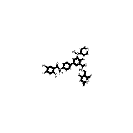 CCCN(C(=O)c1cc(C(C)C)c(O)cc1O)c1ccc(-c2cc(C(=O)NCc3c(C)cc(C)[nH]c3=O)c(C)c(N(CC)C3CCOCC3)c2)cc1